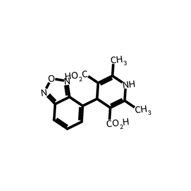 CC1=C(C(=O)O)C(c2cccc3nonc23)C(C(=O)O)=C(C)N1